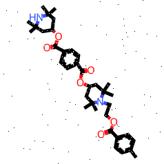 Cc1ccc(C(=O)OCCN2C(C)(C)CC(OC(=O)c3ccc(C(=O)OC4CC(C)(C)NC(C)(C)C4)cc3)CC2(C)C)cc1